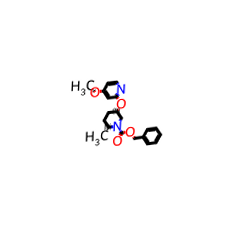 COc1ccnc(O[C@@H]2CC[C@@H](C)N(C(=O)OCc3ccccc3)C2)c1